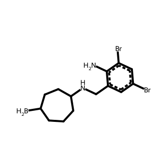 BC1CCCC(NCc2cc(Br)cc(Br)c2N)CC1